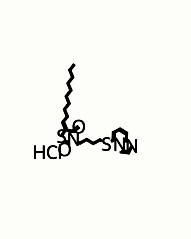 CCCCCCCCCC=C1SC(=O)N(CCCCSc2cccc3nccn23)C1=O.Cl